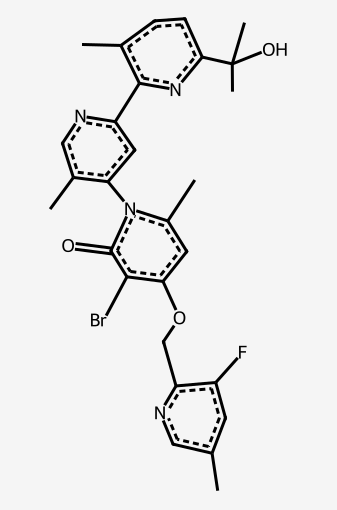 Cc1cnc(COc2cc(C)n(-c3cc(-c4nc(C(C)(C)O)ccc4C)ncc3C)c(=O)c2Br)c(F)c1